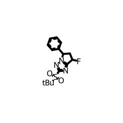 CC(C)(C)S(=O)(=O)c1nc2n(n1)C(c1ccccc1)CC2F